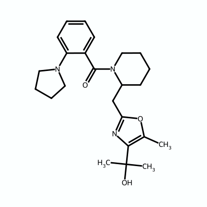 Cc1oc(CC2CCCCN2C(=O)c2ccccc2N2CCCC2)nc1C(C)(C)O